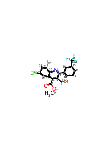 COC(=O)c1c(CBr)c(-c2cccc(C(F)(F)F)c2)nc2c(Cl)cc(Cl)cc12